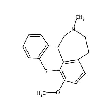 COc1ccc2c(c1Sc1ccccc1)CCN(C)CC2